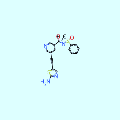 C[S@@](=O)(=NC(=O)c1cncc(C#Cc2cnc(N)s2)c1)c1ccccc1